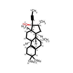 CC#C[C@]1(O)[C@H](C)C[C@H]2[C@@H]3[C@H](C)CC4=C(CCC(OC)(OC)C4)[C@H]3CC[C@@]21C